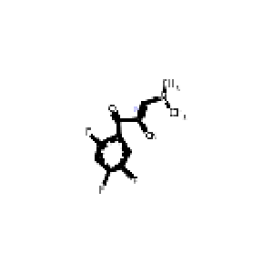 CN(C)/C=C(\C#N)C(=O)c1cc(F)c(F)cc1F